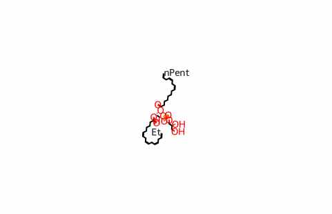 CC/C=C\C/C=C\C/C=C\C/C=C\CCCCC(=O)O[C@H](COC(=O)CCCCCC/C=C\C/C=C\C/C=C\CCCCC)COP(=O)(O)OC[C@@H](O)CO